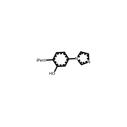 CCCC(C)c1ccc(-n2ccnc2)cc1O